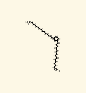 CCCCCCCCCCCCCCCc1c[c]cc(CCCCCCCCCCCCCCC)c1